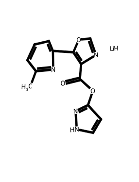 Cc1cccc(-c2ocnc2C(=O)Oc2cc[nH]n2)n1.[LiH]